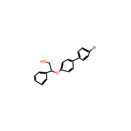 OCC(Oc1ccc(-c2ccc(Br)cc2)cc1)c1ccccc1